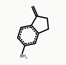 Bc1ccc2c(c1)CCC2=C